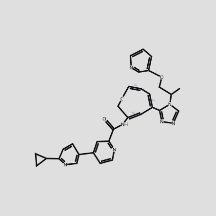 CC(COc1cccnc1)n1cnnc1C1=C/C=C\CC/C(NC(=O)c2cc(-c3ccc(C4CC4)nc3)ccn2)=C\1